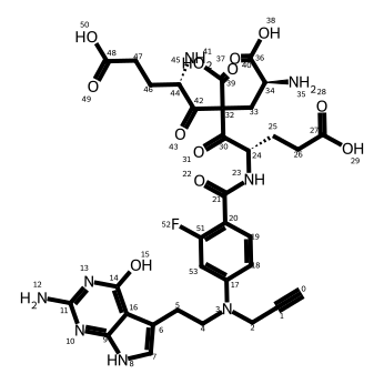 C#CCN(CCc1c[nH]c2nc(N)nc(O)c12)c1ccc(C(=O)N[C@@H](CCC(=O)O)C(=O)C(C[C@H](N)C(=O)O)(C(=O)O)C(=O)[C@@H](N)CCC(=O)O)c(F)c1